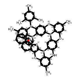 Cc1cc(C)c(N2c3cc4c(cc3B3c5sc6ccccc6c5Oc5cc(C)cc2c53)B2c3cc5c(cc3Oc3cc(C)cc(c32)O4)Nc2cc(C)cc3c2B5c2sc4ccccc4c2O3)c(C)c1